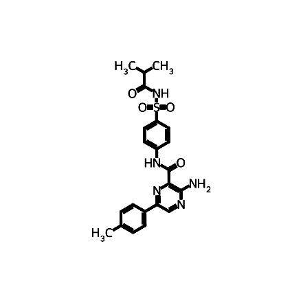 Cc1ccc(-c2cnc(N)c(C(=O)Nc3ccc(S(=O)(=O)NC(=O)C(C)C)cc3)n2)cc1